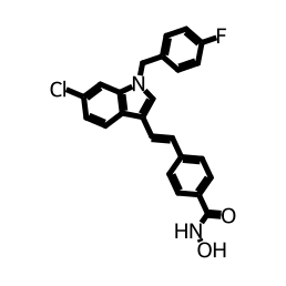 O=C(NO)c1ccc(/C=C/c2cn(Cc3ccc(F)cc3)c3cc(Cl)ccc23)cc1